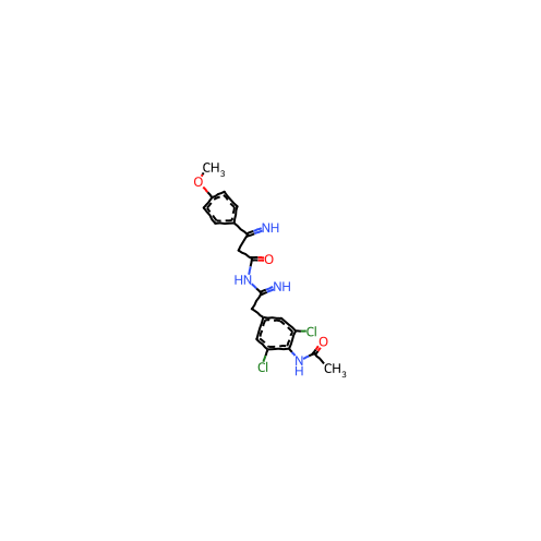 COc1ccc(C(=N)CC(=O)NC(=N)Cc2cc(Cl)c(NC(C)=O)c(Cl)c2)cc1